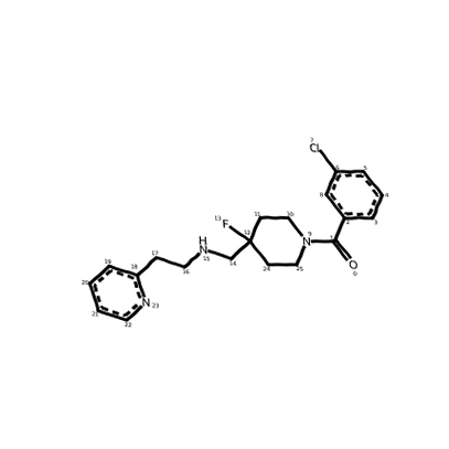 O=C(c1cccc(Cl)c1)N1CCC(F)(CNCCc2ccccn2)CC1